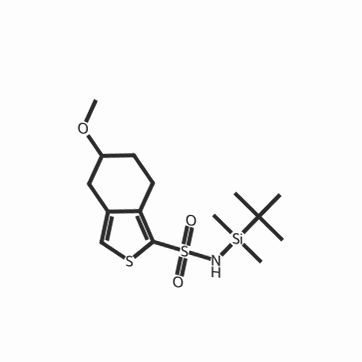 COC1CCc2c(csc2S(=O)(=O)N[Si](C)(C)C(C)(C)C)C1